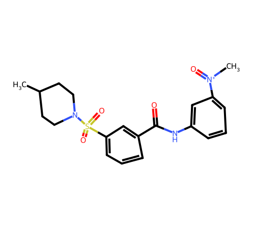 CC1CCN(S(=O)(=O)c2cccc(C(=O)Nc3cccc([N+](C)=O)c3)c2)CC1